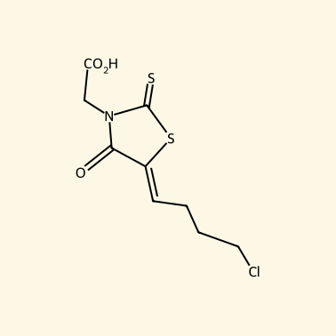 O=C(O)CN1C(=O)C(=CCCCCl)SC1=S